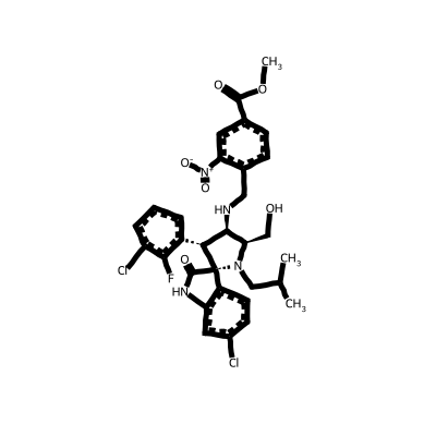 COC(=O)c1ccc(CN[C@H]2[C@@H](CO)N(CC(C)C)[C@]3(C(=O)Nc4cc(Cl)ccc43)[C@@H]2c2cccc(Cl)c2F)c([N+](=O)[O-])c1